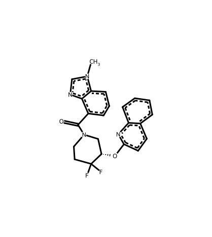 Cn1cnc2c(C(=O)N3CCC(F)(F)[C@@H](Oc4ccc5ccccc5n4)C3)cccc21